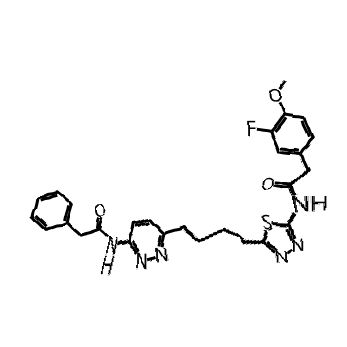 COc1ccc(CC(=O)Nc2nnc(CCCCc3ccc(NC(=O)Cc4ccccc4)nn3)s2)cc1F